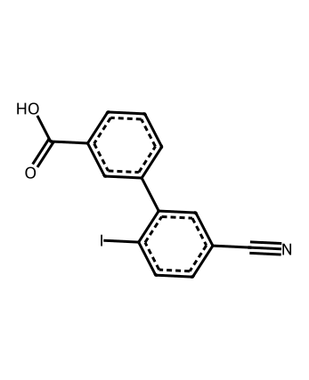 N#Cc1ccc(I)c(-c2cccc(C(=O)O)c2)c1